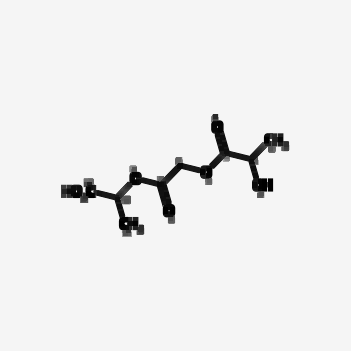 CC(O)C(=O)OCC(=O)OC(C)C(=O)O